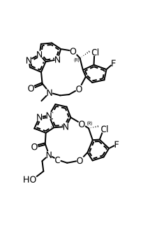 C[C@H]1Oc2ccn3ncc(c3n2)C(=O)N(C)CCOc2ccc(F)c(Cl)c21.C[C@H]1Oc2ccn3ncc(c3n2)C(=O)N(CCO)CCOc2ccc(F)c(Cl)c21